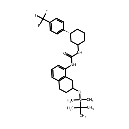 CC(C)(C)[Si](C)(C)OC1CCc2cccc(NC(=O)NC3CCC[C@@H](c4ccc(C(F)(F)F)cc4)C3)c2C1